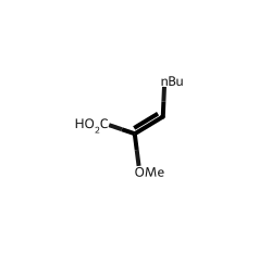 CCCC/C=C(/OC)C(=O)O